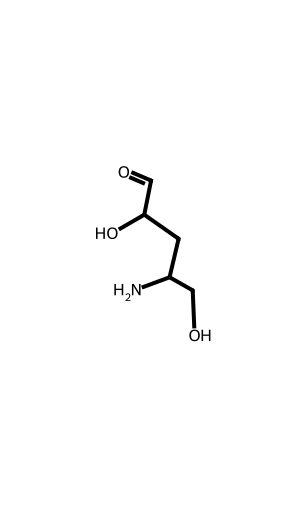 NC(CO)CC(O)C=O